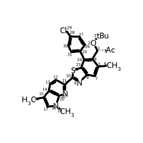 CC(=O)[C@@H](OC(C)(C)C)c1c(C)cc2nc(-c3ccc4c(C)cn(C)c4n3)sc2c1-c1ccc(Cl)cc1